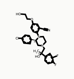 C[C@@](O)(CN1CCN(c2ccc(OCCO)cc2C#N)[C@H](c2ccc(Cl)cc2)C1)c1ccc(F)c(F)c1